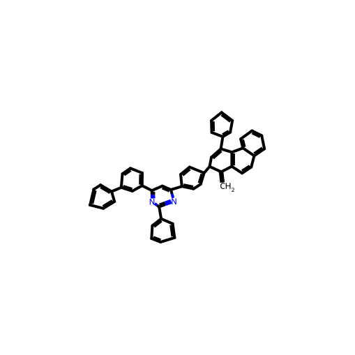 C=C1c2ccc3ccccc3c2C(c2ccccc2)=CC1c1ccc(-c2cc(-c3cccc(-c4ccccc4)c3)nc(-c3ccccc3)n2)cc1